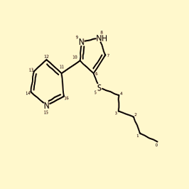 CCCCCSc1c[nH]nc1-c1cccnc1